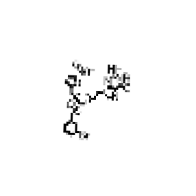 Nc1nc2c(ncn2CCOCP(=O)(OCc2cccc(Br)c2)OCc2ccc([N+](=O)[O-])o2)c(=O)[nH]1